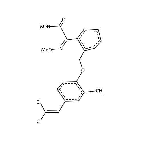 CNC(=O)C(=NOC)c1ccccc1COc1ccc(C=C(Cl)Cl)cc1C